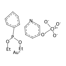 CCOP(OCC)c1ccccc1.[Au+].[O-][Cl+3]([O-])([O-])[O-].c1ccncc1